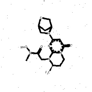 CON(C)C(=O)CN1c2nc(N3CC4CC3CO4)cc(=O)n2CC[C@H]1C(F)(F)F